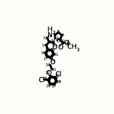 COC(=O)C1CCCN1C(=O)C(CN)Cc1ccc(OCCOc2c(Cl)cccc2Cl)cc1